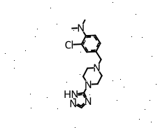 CN(C)c1ccc(CN2CCN(c3ncn[nH]3)CC2)cc1Cl